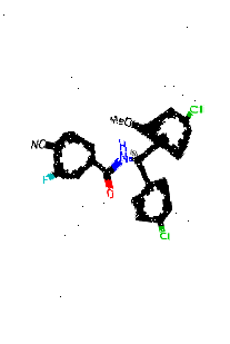 COc1cc(Cl)ccc1[C@@H](NC(=O)c1ccc(C#N)c(F)c1)c1ccc(Cl)cc1